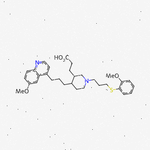 COc1ccc2nccc(CCCC3CCN(CCCSc4ccccc4OC)CC3CCC(=O)O)c2c1